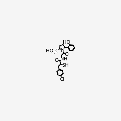 O=C(NCC(=O)N1C(C(=O)O)CCC1c1ccccc1O)C(S)Cc1ccc(Cl)cc1